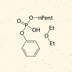 CCCCCOP(=O)(O)Oc1ccccc1.CCOCC